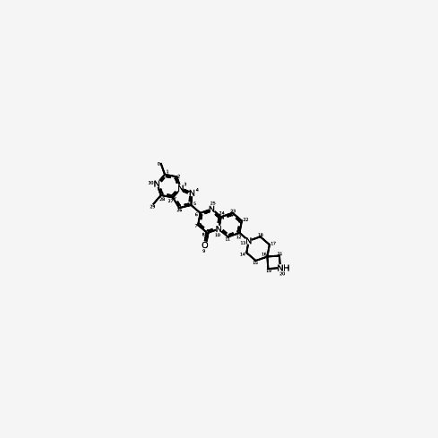 Cc1cn2nc(-c3cc(=O)n4cc(N5CCC6(CC5)CNC6)ccc4n3)cc2c(C)n1